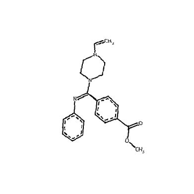 C=CN1CCN(/C(=N/c2ccccc2)c2ccc(C(=O)OC)cc2)CC1